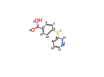 O=C(O)c1ccc(Sc2cccnc2)cc1